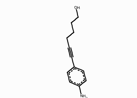 Nc1ccc(C#CCCCCO)cc1